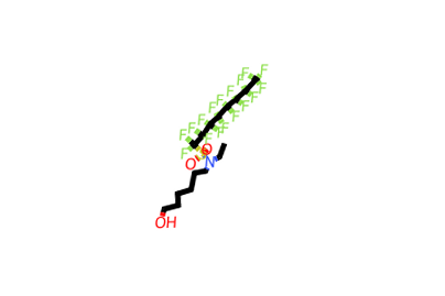 CCN(CCCCCCO)S(=O)(=O)C(F)(F)C(F)(F)C(F)(F)C(F)(F)C(F)(F)C(F)(F)C(F)(F)C(F)(F)F